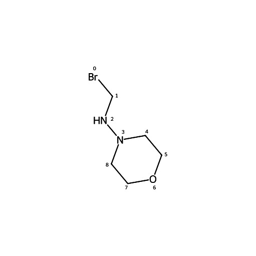 BrCNN1CCOCC1